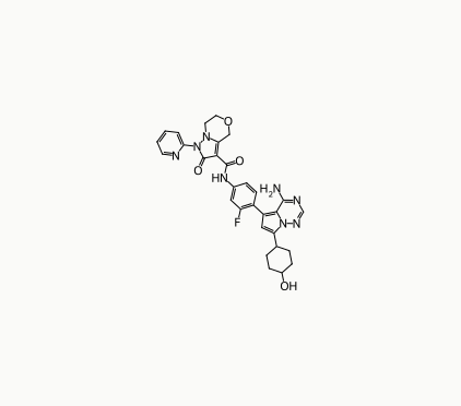 Nc1ncnn2c(C3CCC(O)CC3)cc(-c3ccc(NC(=O)c4c5n(n(-c6ccccn6)c4=O)CCOC5)cc3F)c12